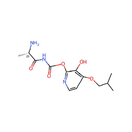 CC(C)COc1ccnc(OC(=O)NC(=O)[C@H](C)N)c1O